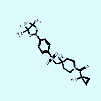 CC1(CS(=O)(=O)c2ccc(B3OC(C)(C)C(C)(C)O3)cc2)CCN(C(=O)C2(C)CC2)CC1